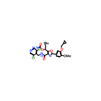 COc1ccc(-c2nc(C(=O)NCc3c(Cl)cncc3Cl)c(C(CC(C)(C)C)OC(N)=O)o2)cc1OCC1CC1